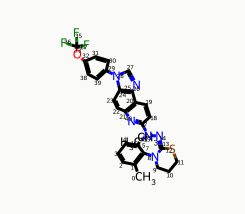 Cc1cccc(C)c1N1CCCS/C1=N/N(C)c1ccc2c(ccc3c2ncn3-c2ccc(OC(F)(F)F)cc2)n1